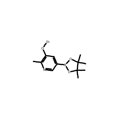 CCOc1cc(B2OC(C)(C)C(C)(C)O2)cnc1C